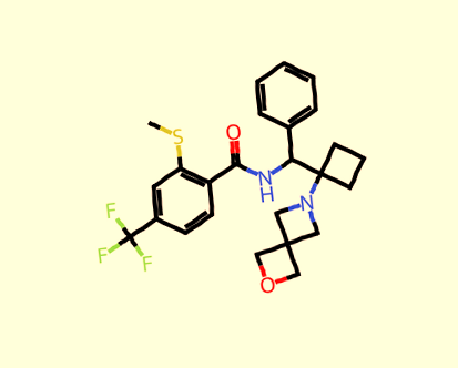 CSc1cc(C(F)(F)F)ccc1C(=O)NC(c1ccccc1)C1(N2CC3(COC3)C2)CCC1